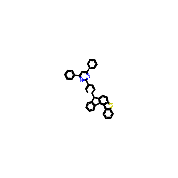 C/C=C(\C=C/CC1c2ccccc2-c2c1ccc1sc3ccccc3c21)c1nc(-c2ccccc2)cc(-c2ccccc2)n1